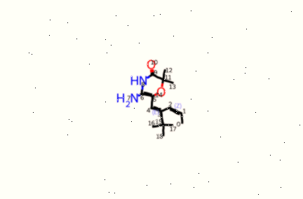 C/C=C\C(=C/C1=C(N)NC(=O)C(C)(C)O1)C(C)(C)C